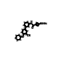 CC(=O)NC1C2CC1C2C(=O)Nc1cccc(-c2ccc(OC3CCOCC3)c(C#N)c2)c1